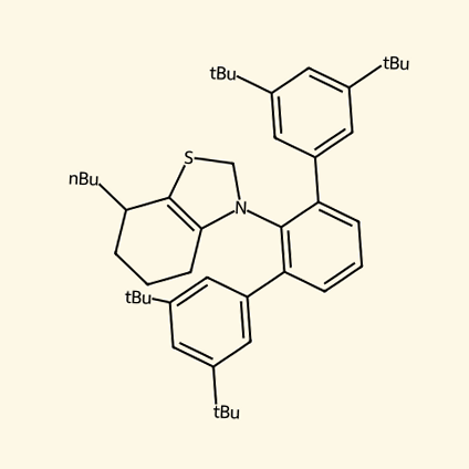 CCCCC1CCCC2=C1SCN2c1c(-c2cc(C(C)(C)C)cc(C(C)(C)C)c2)cccc1-c1cc(C(C)(C)C)cc(C(C)(C)C)c1